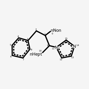 CCCCCCCCCC(Cc1ccccc1)C(CCCCCCC)n1ccnc1